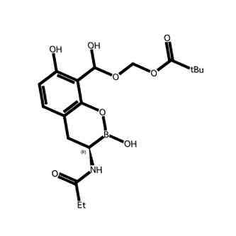 CCC(=O)N[C@H]1Cc2ccc(O)c(C(O)OCOC(=O)C(C)(C)C)c2OB1O